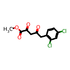 COC(=O)C(=O)CC(=O)Cc1ccc(Cl)cc1Cl